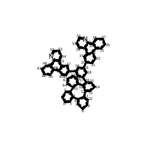 c1ccc2c(c1)-c1ccccc1-c1cccc(-c3cc(-c4ccc5c6ccccc6c6ncccc6c5c4)cc(-c4ccc5c6ccccc6c6ncccc6c5c4)c3)c1-c1ccccc1-2